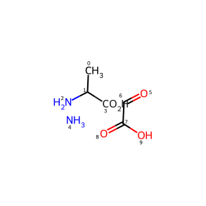 CC(N)C(=O)O.N.O=CC(=O)O